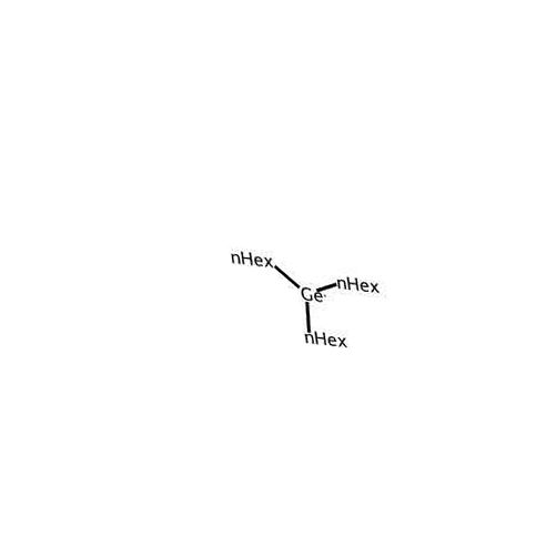 CCCCC[CH2][Ge]([CH2]CCCCC)[CH2]CCCCC